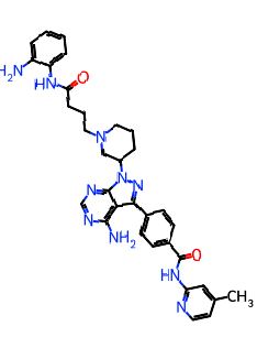 Cc1ccnc(NC(=O)c2ccc(-c3nn(C4CCCN(CCCC(=O)Nc5ccccc5N)C4)c4ncnc(N)c34)cc2)c1